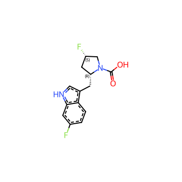 O=C(O)N1C[C@@H](F)C[C@H]1Cc1c[nH]c2cc(F)ccc12